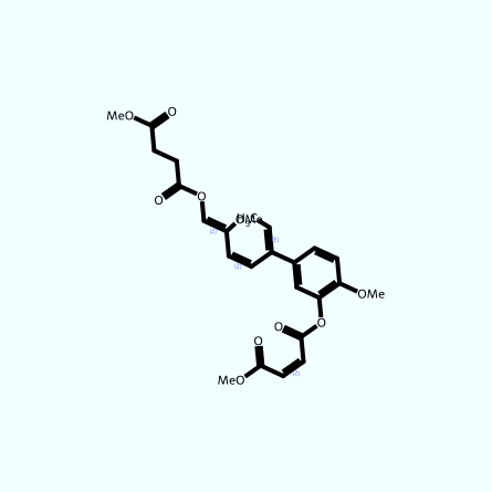 C\C=C(/C=C\C(=C\OC(=O)CCC(=O)OC)OC)c1ccc(OC)c(OC(=O)/C=C\C(=O)OC)c1